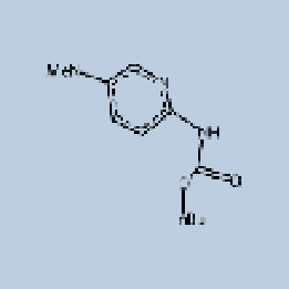 CCCCOC(=O)Nc1ccc(NC)cn1